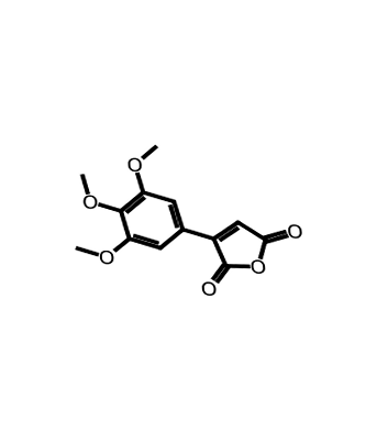 COc1cc(C2=CC(=O)OC2=O)cc(OC)c1OC